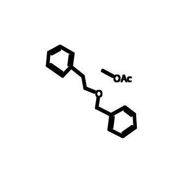 COC(C)=O.c1ccc(CCOCc2ccccc2)cc1